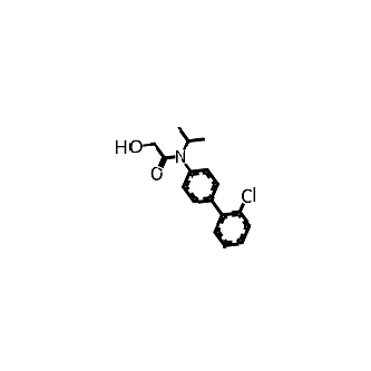 CC(C)N(C(=O)CO)c1ccc(-c2ccccc2Cl)cc1